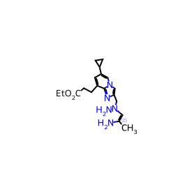 CCOC(=O)CCc1cc(C2CC2)cn2cc(CN(N)/C=C(/C)N)nc12